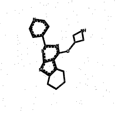 c1cc(-c2nc(OC3CNC3)c3c4c(sc3n2)CCCC4)ccn1